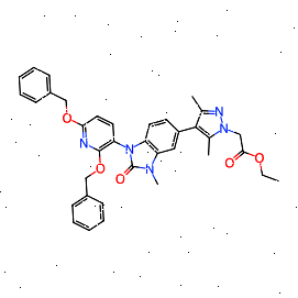 CCOC(=O)Cn1nc(C)c(-c2ccc3c(c2)n(C)c(=O)n3-c2ccc(OCc3ccccc3)nc2OCc2ccccc2)c1C